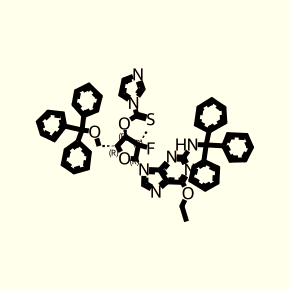 CCOc1nc(NC(c2ccccc2)(c2ccccc2)c2ccccc2)nc2c1ncn2[C@@H]1O[C@H](COC(c2ccccc2)(c2ccccc2)c2ccccc2)[C@@H](OC(=S)n2ccnc2)[C@@]1(C)F